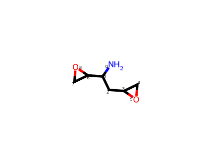 N[C](CC1CO1)C1CO1